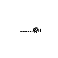 CCCCCCCCC=CCCCCCCCC(=O)OP(=O)(O)OCC